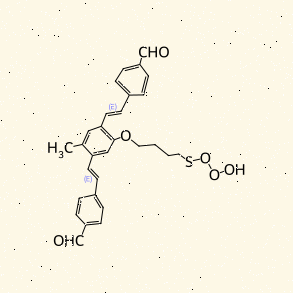 Cc1cc(/C=C/c2ccc(C=O)cc2)c(OCCCCSOOO)cc1/C=C/c1ccc(C=O)cc1